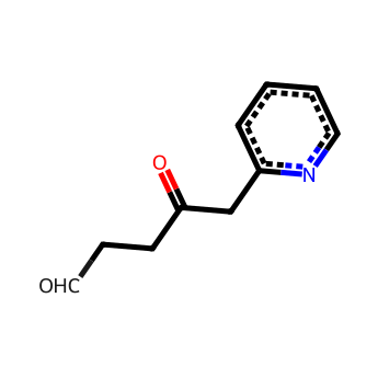 O=CCCC(=O)Cc1ccccn1